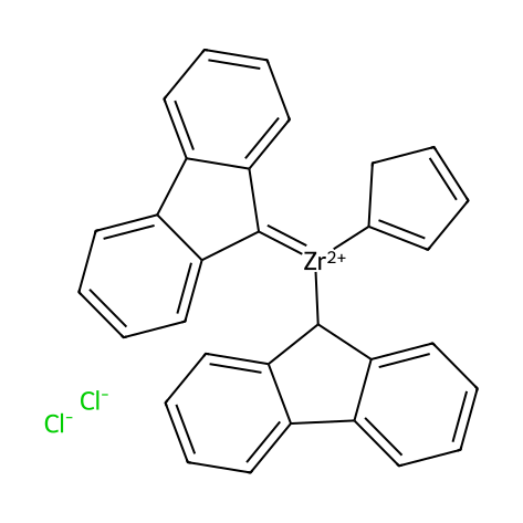 C1=CC[C]([Zr+2](=[C]2c3ccccc3-c3ccccc32)[CH]2c3ccccc3-c3ccccc32)=C1.[Cl-].[Cl-]